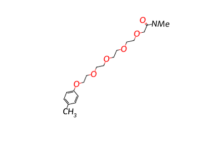 CNC(=O)COCCOCCOCCOCCOc1ccc(C)cc1